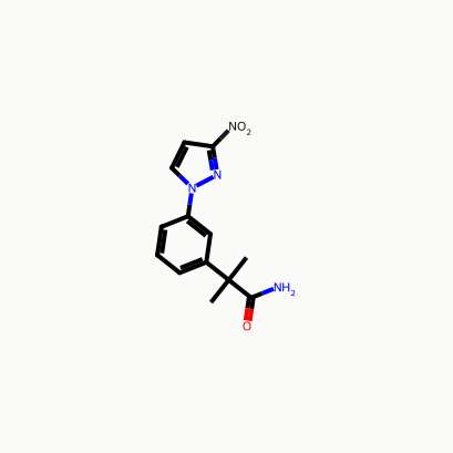 CC(C)(C(N)=O)c1cccc(-n2ccc([N+](=O)[O-])n2)c1